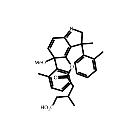 COC1(c2ccccc2C)C=CC2=NCC(C)(c3ccccc3C)C2=C1OC(=O)CC(C)CC(=O)O